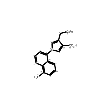 COCc1nn(-c2ccnc3c(C(F)(F)F)cccc23)cc1C(=O)O